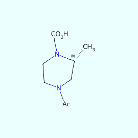 CC(=O)N1CCN(C(=O)O)[C@H](C)C1